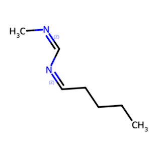 CCCC/C=N\C=N/C